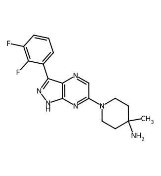 CC1(N)CCN(c2cnc3c(-c4cccc(F)c4F)n[nH]c3n2)CC1